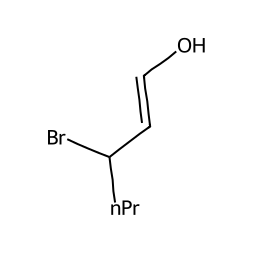 CCCC(Br)C=CO